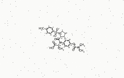 Cc1ccc(S(=O)(=O)N2CCC[C@H]2C(=O)N(c2ccc(OC(=O)N(C)C)cc2)[C@@H](C)C(=O)O)cc1